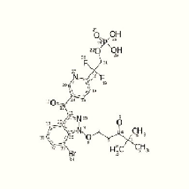 CC(C)(C)C(=O)CCOn1nc(C(=O)c2ccc(C(F)(F)COP(=O)(O)O)nc2)c2cccc(Br)c21